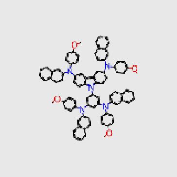 COc1ccc(N(c2cc(N(c3ccc(OC)cc3)c3ccc4ccccc4c3)cc(-n3c4ccc(N(c5ccc(OC)cc5)c5ccc6ccccc6c5)cc4c4cc(N(c5ccc(OC)cc5)c5ccc6ccccc6c5)ccc43)c2)c2ccc3ccccc3c2)cc1